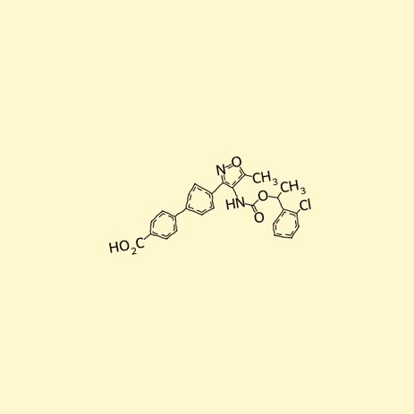 Cc1onc(-c2ccc(-c3ccc(C(=O)O)cc3)cc2)c1NC(=O)OC(C)c1ccccc1Cl